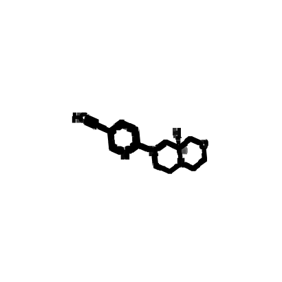 C#Cc1ccc(N2CCN3CCOC[C@@H]3C2)nc1